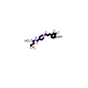 C=CCC(NC(=O)C1CCN(C(=O)/C=C/c2ccc(SC)c(Cl)c2Cl)CC1)C(=O)O